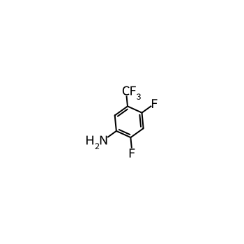 Nc1cc(C(F)(F)F)c(F)cc1F